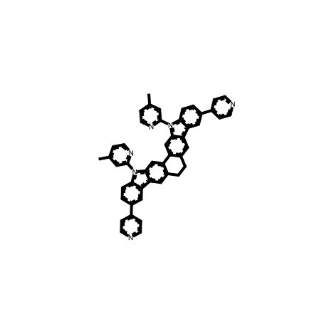 Cc1ccnc(-n2c3ccc(-c4ccncc4)cc3c3cc4c(cc32)-c2cc3c(cc2CC4)c2cc(-c4ccncc4)ccc2n3-c2cc(C)ccn2)c1